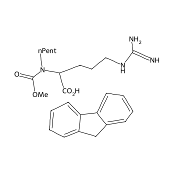 CCCCCN(C(=O)OC)C(CCCNC(=N)N)C(=O)O.c1ccc2c(c1)Cc1ccccc1-2